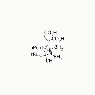 BC(C(C(C)CCC)C(CC(=O)O)C(=O)O)C(B)C(C)(C)CC(C)(C)C